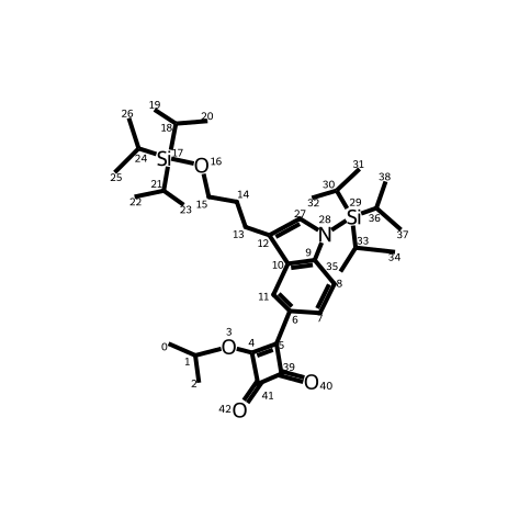 CC(C)Oc1c(-c2ccc3c(c2)c(CCCO[Si](C(C)C)(C(C)C)C(C)C)cn3[Si](C(C)C)(C(C)C)C(C)C)c(=O)c1=O